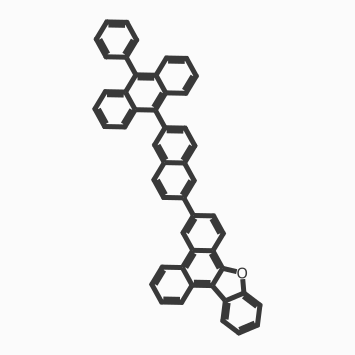 c1ccc(-c2c3ccccc3c(-c3ccc4cc(-c5ccc6c(c5)c5ccccc5c5c7ccccc7oc65)ccc4c3)c3ccccc23)cc1